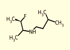 CC(C)CCNC(C)[C@@H](C)F